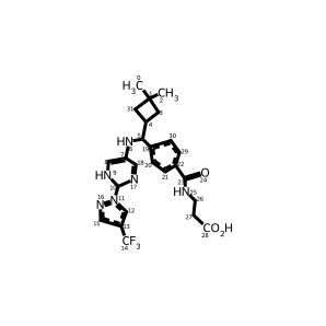 CC1(C)CC(C(NC2=CNC(n3cc(C(F)(F)F)cn3)N=C2)c2ccc(C(=O)NCCC(=O)O)cc2)C1